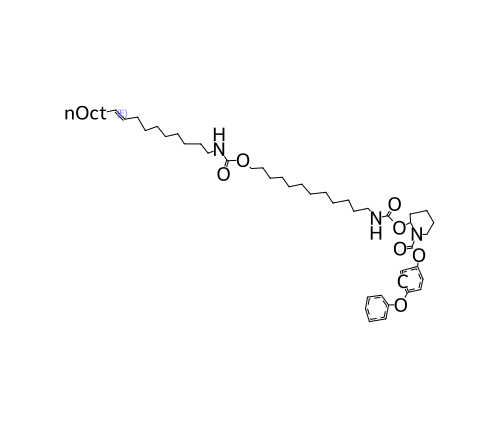 CCCCCCCC/C=C/CCCCCCCCNC(=O)OCCCCCCCCCCCCNC(=O)OC1CCCCN1C(=O)Oc1ccc(Oc2ccccc2)cc1